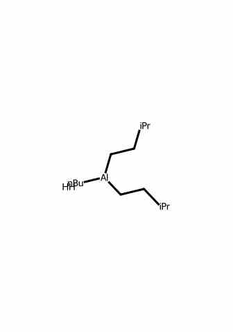 CCC[CH2][Al]([CH2]CC(C)C)[CH2]CC(C)C.[HH]